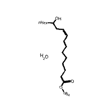 CCCCCCC(O)C/C=C\CCCCCCCC(=O)OCCCC.O